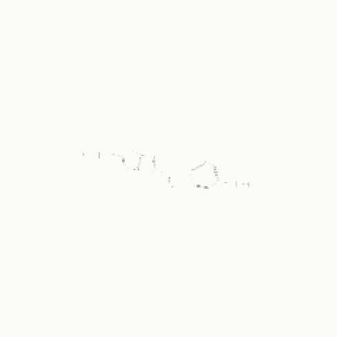 CCCCCCCc1cc2sc(C(=O)Oc3ccc(CCCCC)cc3)cc2s1